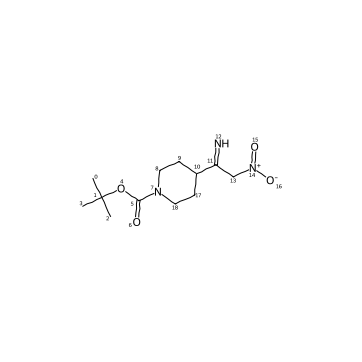 CC(C)(C)OC(=O)N1CCC(C(=N)C[N+](=O)[O-])CC1